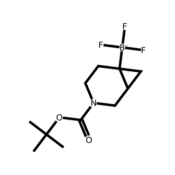 CC(C)(C)OC(=O)N1CCC2([B-](F)(F)F)CC2C1